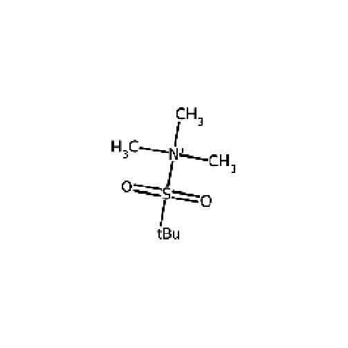 CC(C)(C)S(=O)(=O)[N+](C)(C)C